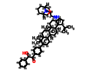 C=C(C)[C@@H]1CC[C@]2(NCCN3[C@@H]4CCC[C@H]3COC4)CC[C@]3(C)[C@H](CC[C@@H]4[C@@]5(C)CC=C(c6ccc(C(=O)C(O)c7ccccc7)cc6)C(C)(C)[C@@H]5CC[C@]43C)[C@@H]12